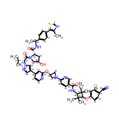 Cc1ncsc1-c1ccc([C@H](C)NC(=O)[C@@H]2C[C@@H](O)CN2C(=O)[C@@H](C(C)C)n2cc(-c3ccnc(OC4CN(c5ccc(C(=O)NC6C(C)(C)C(Oc7ccc(C#N)c(Cl)c7)C6(C)C)cn5)C4)c3)cn2)cc1